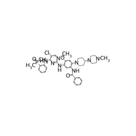 COc1cc(N2CCC(N3CCN(C)CC3)CC2)c(NC(=O)c2ccccc2)cc1Nc1ncc(Cl)c(Nc2ccccc2P(C)(C)=O)n1